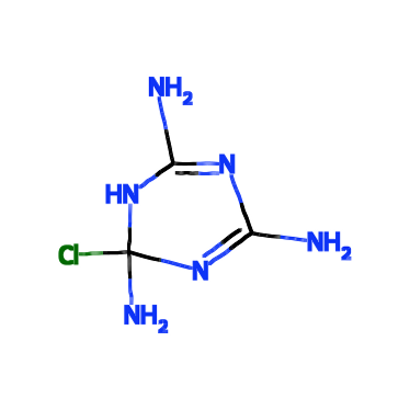 NC1=NC(N)(Cl)NC(N)=N1